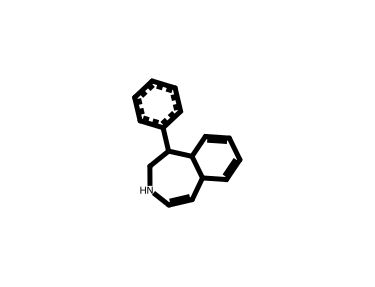 C1=CC2C=CNCC(c3ccccc3)C2C=C1